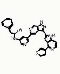 OC(Cc1ccccc1)Nc1cncc(-c2cc3c(-c4nc5c(-c6ccsc6)nccc5[nH]4)n[nH]c3cn2)c1